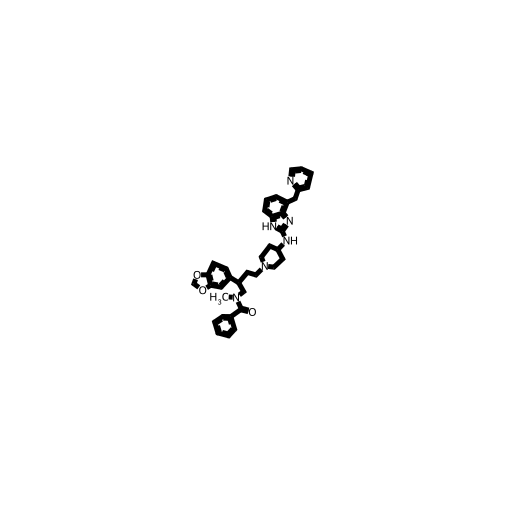 CN(CC(CCN1CCC(Nc2nc3c(Cc4ccccn4)cccc3[nH]2)CC1)c1ccc2c(c1)OCO2)C(=O)c1ccccc1